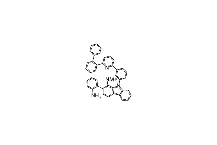 CNc1c(-c2ccccc2N)ccc2c3ccccc3n(-c3cccc(-c4cccc(-c5ccccc5-c5ccccc5)n4)c3)c12